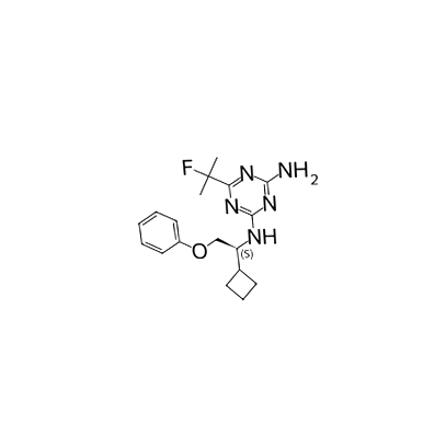 CC(C)(F)c1nc(N)nc(N[C@H](COc2ccccc2)C2CCC2)n1